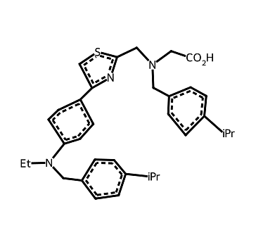 CCN(Cc1ccc(C(C)C)cc1)c1ccc(-c2csc(CN(CC(=O)O)Cc3ccc(C(C)C)cc3)n2)cc1